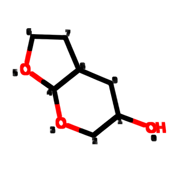 OC1COC2OCCC2C1